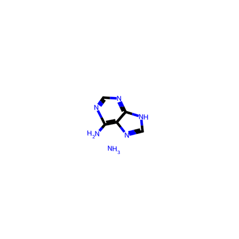 N.Nc1ncnc2[nH]cnc12